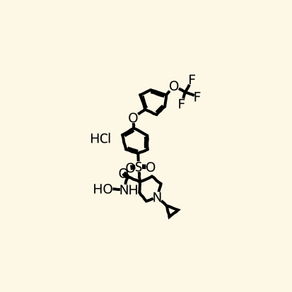 Cl.O=C(NO)C1(S(=O)(=O)c2ccc(Oc3ccc(OC(F)(F)F)cc3)cc2)CCN(C2CC2)CC1